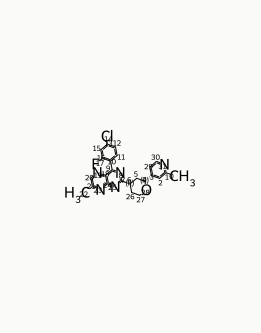 Cc1cc([C@H]2C[C@H](c3nc(-c4ccc(Cl)cc4F)c4ncc(C)nc4n3)CCO2)ccn1